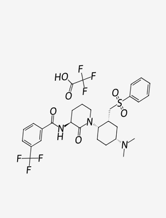 CN(C)[C@@H]1CC[C@H](N2CCC[C@H](NC(=O)c3cccc(C(F)(F)F)c3)C2=O)[C@H](CS(=O)(=O)c2ccccc2)C1.O=C(O)C(F)(F)F